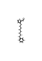 O=Cc1sccc1CCCCCCCCc1ccccc1